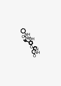 O=C1CCc2c(Oc3ccc(O)c(C4C5CC54NC(=O)NC4CCCCCC4)c3)ccnc2N1